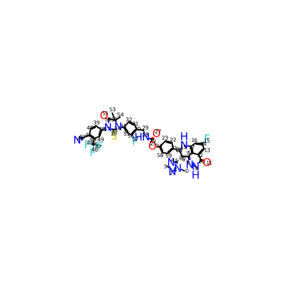 Cn1ncnc1[C@H]1c2n[nH]c(=O)c3cc(F)cc(c23)N[C@@H]1c1ccc(OC(=O)NCc2ccc(N3C(=S)N(c4ccc(C#N)c(C(F)(F)F)c4)C(=O)C3(C)C)cc2F)cc1